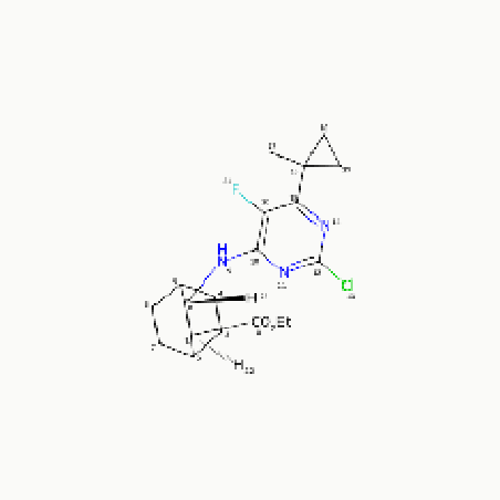 CCOC(=O)[C@H]1C2CCC(CC2)[C@@H]1Nc1nc(Cl)nc(C2(C)CC2)c1F